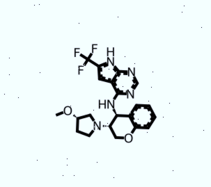 CO[C@H]1CCN([C@H]2COc3ccccc3[C@@H]2Nc2ncnc3[nH]c(C(F)(F)F)cc23)C1